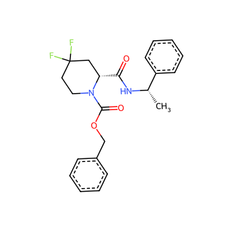 C[C@H](NC(=O)[C@H]1CC(F)(F)CCN1C(=O)OCc1ccccc1)c1ccccc1